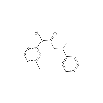 CCN(C(=O)CC(C)c1ccccc1)c1cccc(C)c1